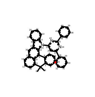 CC1(C)c2ccccc2-c2c3c1cccc3cc1c3ccccc3n(-c3cc(-c4ccccc4)nc(-c4ccccc4)n3)c21